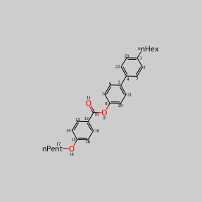 CCCCCCc1ccc(-c2ccc(OC(=O)c3ccc(OCCCCC)cc3)cc2)cc1